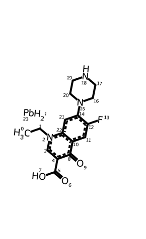 CCn1cc(C(=O)O)c(=O)c2cc(F)c(N3CCNCC3)cc21.[PbH2]